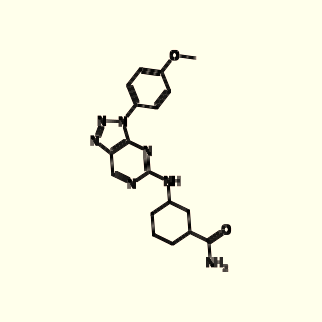 COc1ccc(-n2nnc3cnc(NC4CCCC(C(N)=O)C4)nc32)cc1